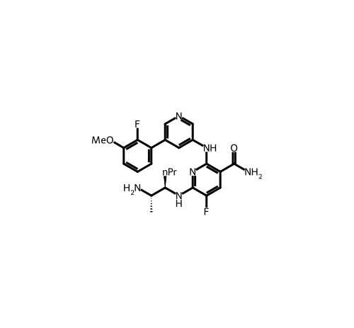 CCC[C@@H](Nc1nc(Nc2cncc(-c3cccc(OC)c3F)c2)c(C(N)=O)cc1F)[C@H](C)N